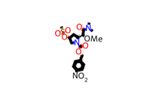 COC(C(=O)N(C)C)[C@@H]1C[C@@H](OS(C)(=O)=O)CN1C(=O)OCc1ccc([N+](=O)[O-])cc1